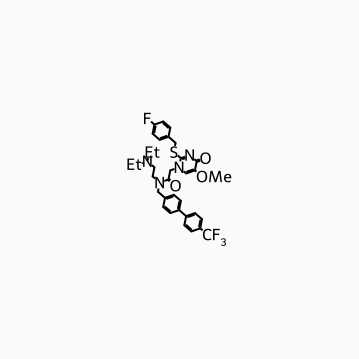 CCN(CC)CCN(Cc1ccc(-c2ccc(C(F)(F)F)cc2)cc1)C(=O)Cn1cc(OC)c(=O)nc1SCc1ccc(F)cc1